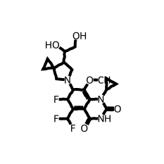 COC1=c2c(c(=O)[nH]c(=O)n2C2CC2)=C(C(F)F)C(F)C1N1CC(C(O)CO)C2(CC2)C1